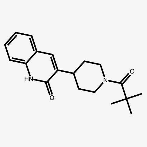 CC(C)(C)C(=O)N1CCC(c2cc3ccccc3[nH]c2=O)CC1